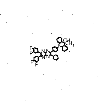 CC1(C)c2ccccc2N(c2ccc(-c3nc4nc(-c5ccc(F)c(F)c5)c(-c5ccc(F)c(F)c5)nc4nc3-c3ccccc3)cc2)c2ccccc21